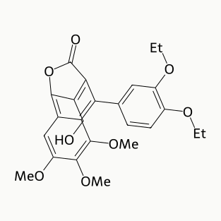 CCOc1ccc(-c2c3c(CO)c(c4cc(OC)c(OC)c(OC)c24)OC3=O)cc1OCC